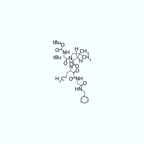 C=CCC(NC(=O)[C@@H]1[C@@H]2[C@H](CN1C(=O)[C@@H](NC(=O)OC(C)(C)C)C(C)(C)C)C2(C)C)C(=O)C(=O)NCC(=O)NCc1ccccc1